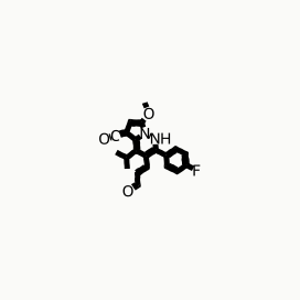 COc1cc(=C=O)c2n1NC(c1ccc(F)cc1)=C(C=CC=O)C=2C(C)C